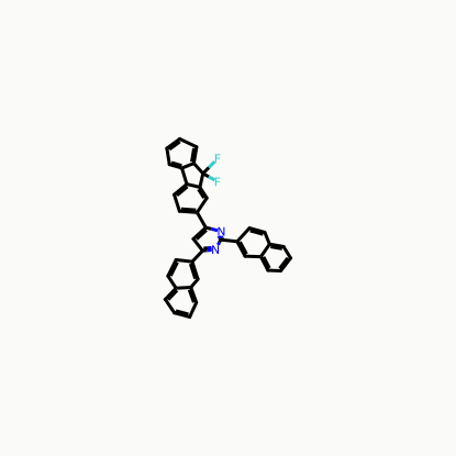 FC1(F)c2ccccc2-c2ccc(-c3cc(-c4ccc5ccccc5c4)nc(-c4ccc5ccccc5c4)n3)cc21